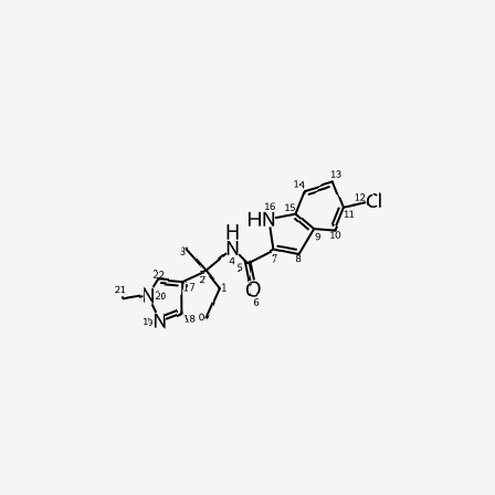 CCC(C)(NC(=O)c1cc2cc(Cl)ccc2[nH]1)c1cnn(C)c1